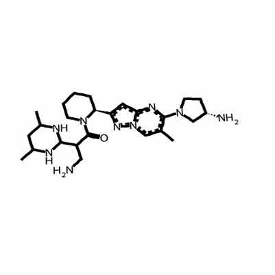 Cc1cn2nc([C@@H]3CCCCN3C(=O)C(CN)C3NC(C)CC(C)N3)cc2nc1N1CC[C@H](N)C1